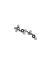 O=C(CCCOc1ccc(/C=C2\SC(=O)NC2=O)cc1Cl)NCc1ccc(Cl)cc1